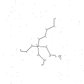 CCCCC[P+](CCC)(CCC)CCC.[Cl-]